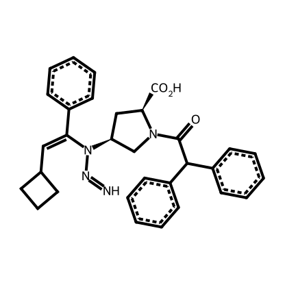 N=NN(/C(=C\C1CCC1)c1ccccc1)[C@H]1C[C@@H](C(=O)O)N(C(=O)C(c2ccccc2)c2ccccc2)C1